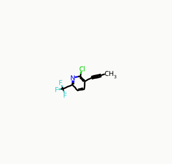 CC#Cc1ccc(C(F)(F)F)nc1Cl